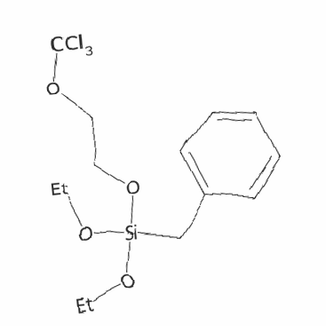 CCO[Si](Cc1ccccc1)(OCC)OCCOC(Cl)(Cl)Cl